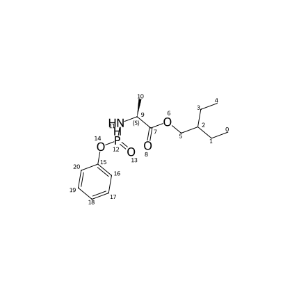 CCC(CC)COC(=O)[C@H](C)N[PH](=O)Oc1ccccc1